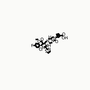 CCOC(=O)C1=C(CN2CCN3C(=O)N(C45CCC(C(=O)O)(C4)C5)C[C@@H]3C2)NC(c2nccs2)=N[C@H]1c1ccc(F)cc1Cl